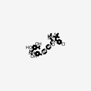 Cc1sc2c(c1C)C(c1ccc(Cl)cc1)=N[C@@H](CC(=O)N1CCC(N3CCN(Cc4ccc(-n5c(O)nnc5-c5cc(C(C)C)c(O)cc5O)cc4)CC3)CC1)c1nnc(C)n1-2